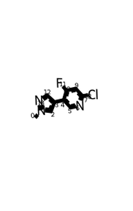 Cn1cc(-c2cnc(Cl)cc2F)cn1